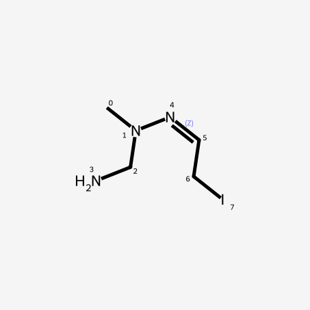 CN(CN)/N=C\CI